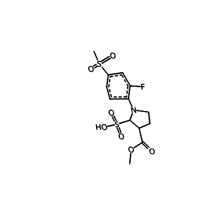 COC(=O)C1CCN(c2ccc(S(C)(=O)=O)cc2F)C1S(=O)(=O)O